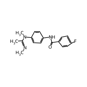 CN=C(C)N(C)c1ccc(NC(=O)c2ccc(F)cc2)cc1